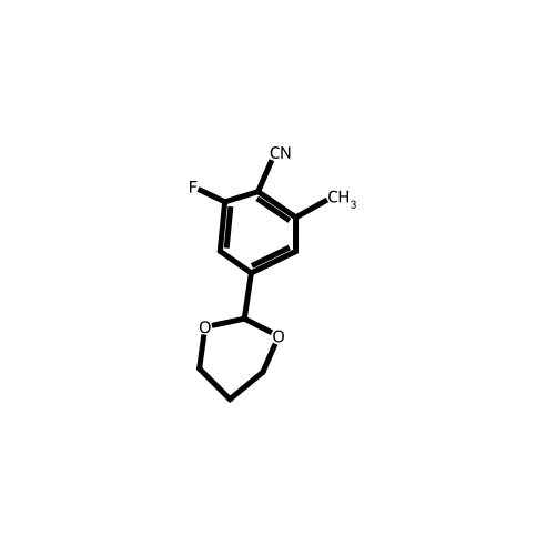 Cc1cc(C2OCCCO2)cc(F)c1C#N